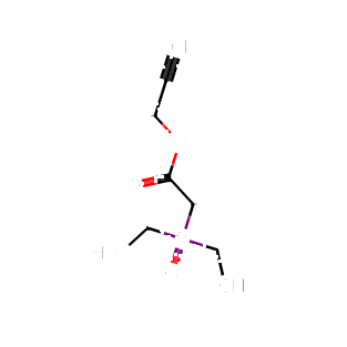 C#CCOC(=O)CP(=O)(CC)CC